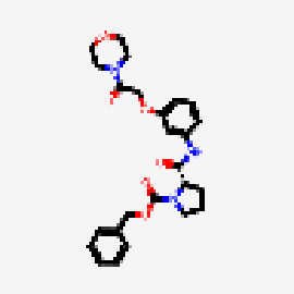 O=C(Nc1cccc(OCC(=O)N2CCOCC2)c1)[C@@H]1CCCN1C(=O)OCc1ccccc1